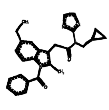 Cc1c(CC(=O)N(CC2CC2)c2nccs2)c2cc(CO)ccc2n1C(=O)c1ccccc1